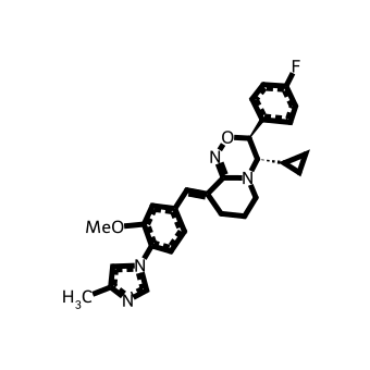 COc1cc(/C=C2\CCCN3C2=NO[C@@H](c2ccc(F)cc2)[C@@H]3C2CC2)ccc1-n1cnc(C)c1